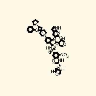 Cc1ccccc1[C@@H]1CCCN1C1CC2(CCN(c3ccc(C(=O)NS(=O)(=O)c4cc5c(c([N+](=O)[O-])c4)N[C@H](CN4C[C@@H]6C[C@H]4CO6)CO5)c(N4C[C@@H]5CCOC[C@@H]5Oc5nc6[nH]ccc6cc54)c3)CC2)C1